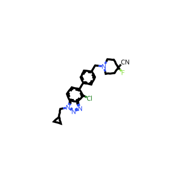 N#CC1(F)CCN(Cc2ccc(-c3ccc4c(nnn4CC4CC4)c3Cl)cc2)CC1